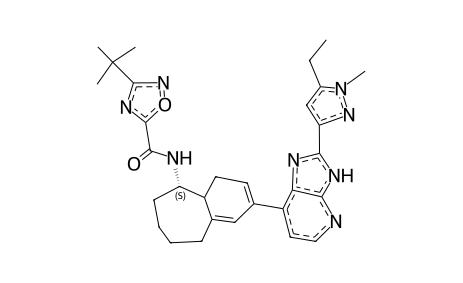 CCc1cc(-c2nc3c(C4=CCC5C(=C4)CCCC[C@@H]5NC(=O)c4nc(C(C)(C)C)no4)ccnc3[nH]2)nn1C